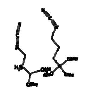 COC(OC)[SiH2]CN=C=S.CO[Si](CCCN=C=S)(OC)OC